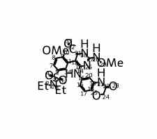 CCN(CC)S(=O)(=O)c1ccc(OC)c(C2=C(Nc3ccc4c(c3)NC(=O)CO4)N=C(NOC)NC2=C=O)c1